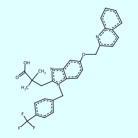 CC(C)(Cc1nc2cc(OCc3ccc4ccccc4n3)ccc2n1Cc1ccc(C(F)(F)F)cc1)C(=O)O